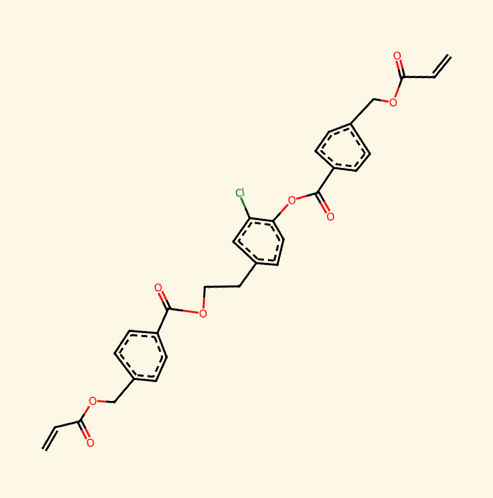 C=CC(=O)OCc1ccc(C(=O)OCCc2ccc(OC(=O)c3ccc(COC(=O)C=C)cc3)c(Cl)c2)cc1